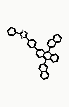 c1ccc(-c2nnc(-c3ccc(-c4ccc5c(-c6ccc7ccccc7c6)c6ccccc6c(-c6ccc7ccccc7c6)c5c4)cc3)s2)cc1